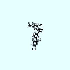 COc1cc2ncc(-c3cncc(N[C@H]4CNC[C@@H]4F)n3)n2nc1C1CC1